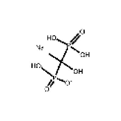 CC(O)(P(=O)([O-])O)P(=O)(O)O.[Na+]